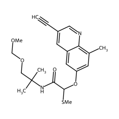 C#Cc1cnc2c(C)cc(OC(SC)C(=O)NC(C)(C)COCOC)cc2c1